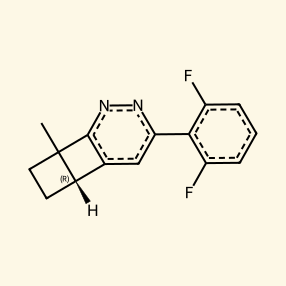 CC12CC[C@H]1c1cc(-c3c(F)cccc3F)nnc12